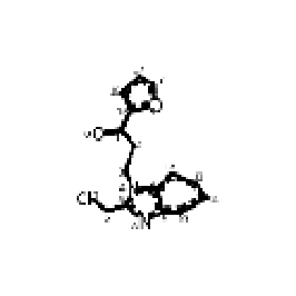 O=C(CCn1c(CCl)nc2ccccc21)c1ccco1